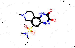 CN1CCc2c(c(S(=O)(=O)N(C)C)cc3[nH]c(=O)c(=O)[nH]c23)C1